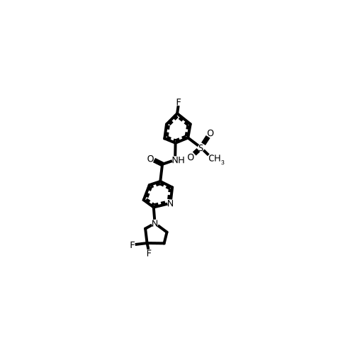 CS(=O)(=O)c1cc(F)ccc1NC(=O)c1ccc(N2CCC(F)(F)C2)nc1